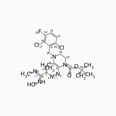 C=C(/N=N\C1=C(C)N(Cc2c(Cl)ccc(F)c2Cl)CCN1C(=O)OC(C)(C)C)/C(=N/C)NO